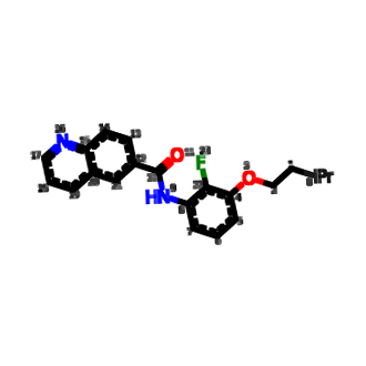 CC(C)CCOc1cccc(NC(=O)c2ccc3ncccc3c2)c1F